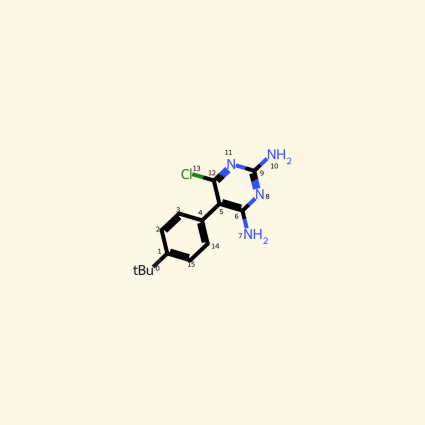 CC(C)(C)c1ccc(-c2c(N)nc(N)nc2Cl)cc1